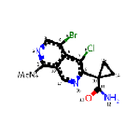 CNc1ncc(Br)c2c(Cl)c(C3(C(N)=O)CC3)ncc12